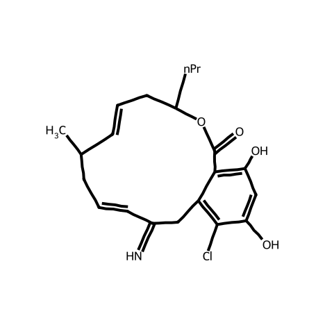 CCCC1C/C=C/C(C)C/C=C/C(=N)Cc2c(Cl)c(O)cc(O)c2C(=O)O1